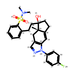 CN(C)S(=O)(=O)c1ccccc1CC[C@]1(O)CCC2=Cc3c(cnn3-c3ccc(F)cc3)C[C@@]21C